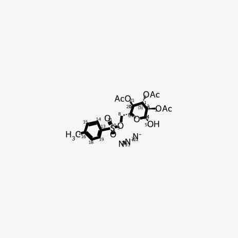 CC(=O)O[C@@H]1[C@@H](OC(C)=O)[C@H](O)O[C@H](COS(=O)(=O)c2ccc(C)cc2)[C@H]1OC(C)=O.[N-]=[N+]=[N-]